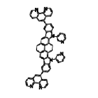 c1cncc(-n2c3ccc(-c4cc5cccnc5c5ncccc45)cc3c3cc4c5c(c32)CCc2c-5c(cc3c5cc(-c6cc7cccnc7c7ncccc67)ccc5n(-c5cccnc5)c23)CC4)c1